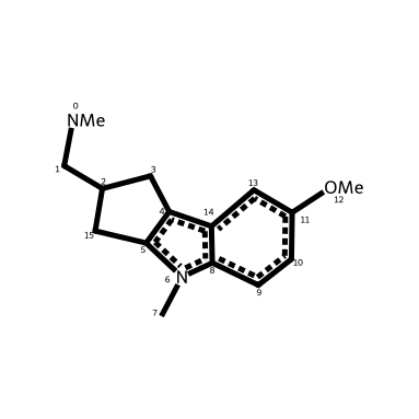 CNCC1Cc2c(n(C)c3ccc(OC)cc23)C1